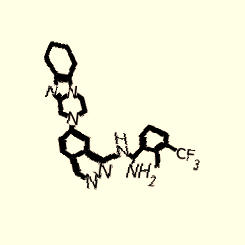 Cc1c([C@@H](N)Nc2nncc3ccc(N4CCn5c(nc6c5CCCC6)C4)cc23)cccc1C(F)(F)F